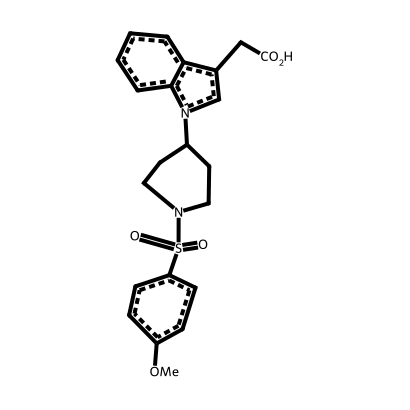 COc1ccc(S(=O)(=O)N2CCC(n3cc(CC(=O)O)c4ccccc43)CC2)cc1